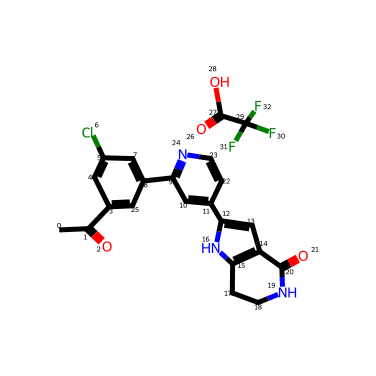 CC(=O)c1cc(Cl)cc(-c2cc(-c3cc4c([nH]3)CCNC4=O)ccn2)c1.O=C(O)C(F)(F)F